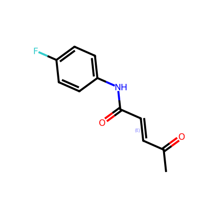 CC(=O)/C=C/C(=O)Nc1ccc(F)cc1